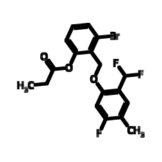 CCC(=O)Oc1cccc(Br)c1COc1cc(F)c(C)cc1C(F)F